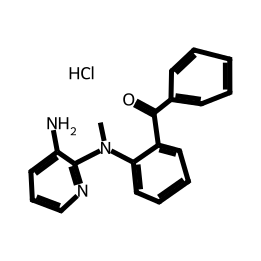 CN(c1ccccc1C(=O)c1ccccc1)c1ncccc1N.Cl